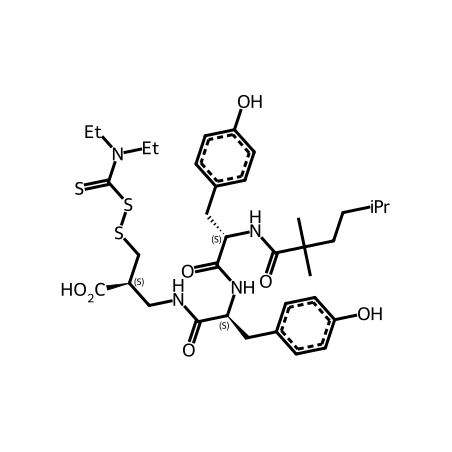 CCN(CC)C(=S)SSC[C@@H](CNC(=O)[C@H](Cc1ccc(O)cc1)NC(=O)[C@H](Cc1ccc(O)cc1)NC(=O)C(C)(C)CCC(C)C)C(=O)O